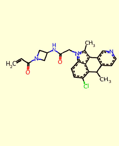 C=CC(=O)N1CC(NC(=O)Cn2c(C)c3c4c(c(Cl)ccc42)C(C)c2ccncc2-3)C1